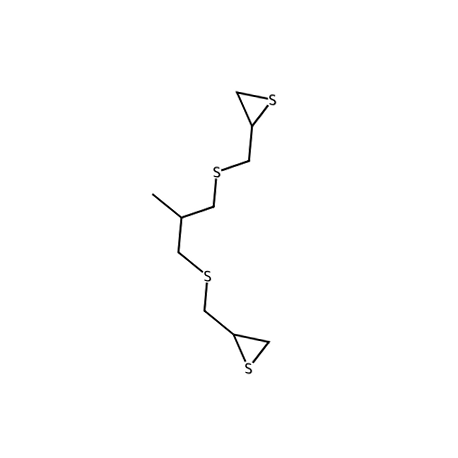 CC(CSCC1CS1)CSCC1CS1